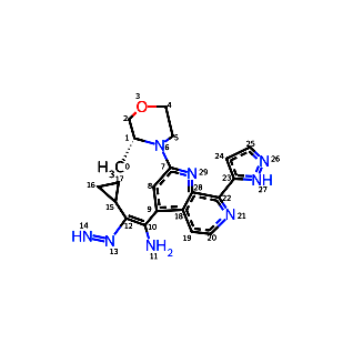 C[C@@H]1COCCN1c1cc(/C(N)=C(/N=N)C2CC2)c2ccnc(-c3ccn[nH]3)c2n1